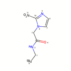 CC(C)(C)CNC(=O)Cn1ccnc1[N+](=O)[O-]